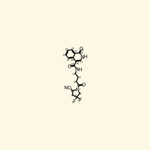 N#C[C@@H]1CC(F)(F)CN1C(=O)CCCNC(=O)c1c[nH]c(=O)c2ccccc12